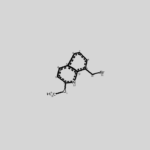 COc1ccc2cccc(CBr)c2n1